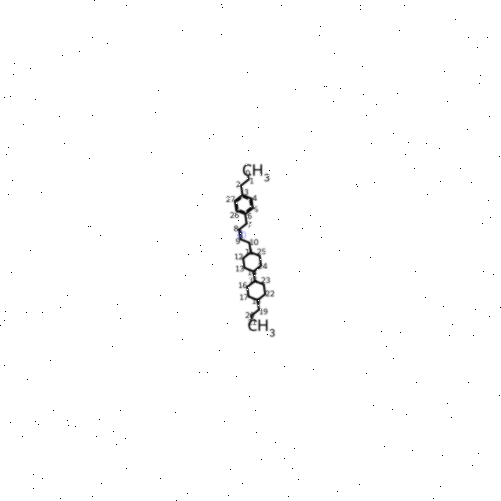 CCCc1ccc(C/C=C\CC2CCC(C3CCC(CCC)CC3)CC2)cc1